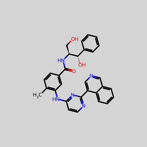 Cc1ccc(C(=O)N[C@@H](CO)[C@@H](O)c2ccccc2)cc1Nc1ccnc(-c2cncc3ccccc23)n1